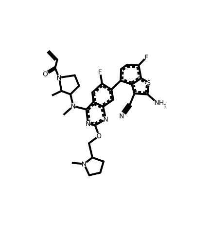 C=CC(=O)N1CCC(N(C)c2nc(OCC3CCCN3C)nc3cc(-c4ccc(F)c5sc(N)c(C#N)c45)c(F)cc23)C1C